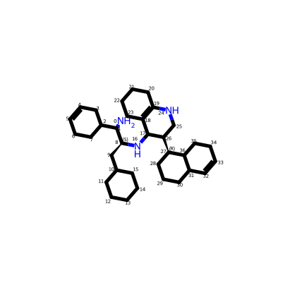 NC(C1CC=CCC1)[C@H](CC1CCCCC1)NC1C2=C(CCCC2)NCC1[C@@H]1CCCC2C=CCCC21